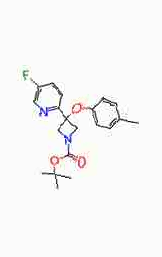 Cc1ccc(OC2(c3ccc(F)cn3)CN(C(=O)OC(C)(C)C)C2)cc1